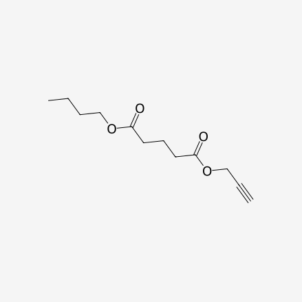 C#CCOC(=O)CCCC(=O)OCCCC